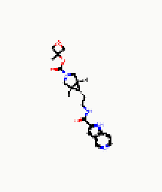 CC1(OC(=O)N2C[C@@H]3[C@@H](CCNC(=O)c4cc5cnccc5[nH]4)[C@@H]3C2)COC1